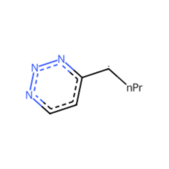 CCC[CH]c1ccnnn1